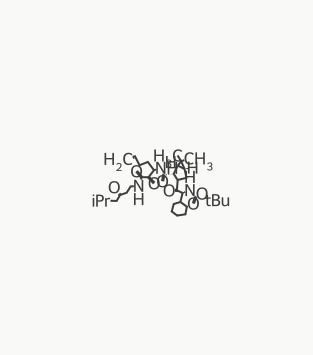 C=CCCC(NC(=O)[C@H]1C(C(=O)[C@@H](NC(=O)OC(C)(C)C)C2CCCCC2)C[C@H]2[C@@H]1C2(C)C)C(=O)C(=O)NCCC(=O)CC(C)C